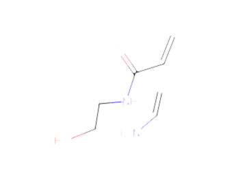 C=CC(=O)NCCO.C=CN